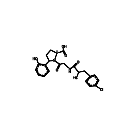 O=C(NCC(=O)N1C(c2ccccc2O)CC[C@H]1C(=O)O)C(S)Cc1ccc(Cl)cc1